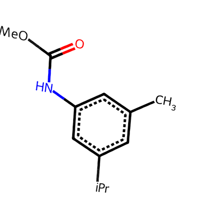 COC(=O)Nc1cc(C)cc(C(C)C)c1